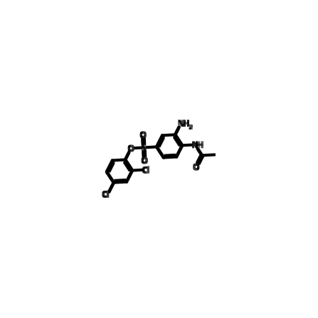 CC(=O)Nc1ccc(S(=O)(=O)Oc2ccc(Cl)cc2Cl)cc1N